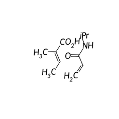 C=CC(=O)NC(C)C.CC=C(C)C(=O)O